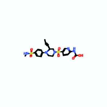 CC#CC1CN(S(=O)(=O)c2ccc(NC(=O)O)nc2)CCN1c1ccc(S(=O)(=O)NC)cc1